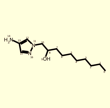 CCCCCCCCC(O)Cn1cc(N)cn1